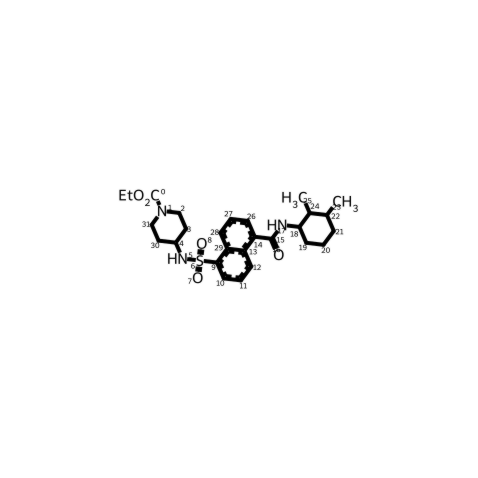 CCOC(=O)N1CCC(NS(=O)(=O)c2cccc3c(C(=O)NC4CCCC(C)C4C)cccc23)CC1